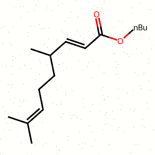 CCCCOC(=O)/C=C/C(C)CCC=C(C)C